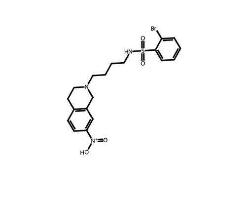 O=[N+](O)c1ccc2c(c1)CN(CCCCNS(=O)(=O)c1ccccc1Br)CC2